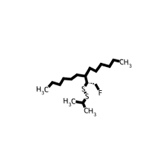 CCCCCCC(CCCCCC)[C@H](CF)SSC(C)C